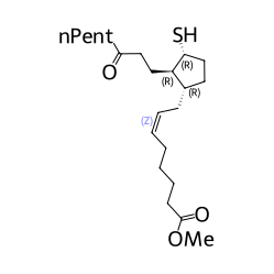 CCCCCC(=O)CC[C@@H]1[C@@H](C/C=C\CCCCC(=O)OC)CC[C@H]1S